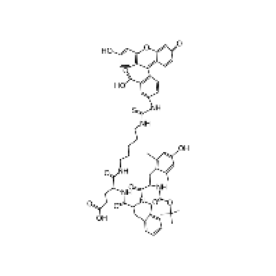 Cc1cc(O)cc(C)c1CC(NC(=O)OC(C)(C)C)C(=O)N1Cc2ccccc2CC1C(=O)NC(CCC(=O)O)C(=O)NCCCCCNC(=S)Nc1ccc(-c2c3ccc(=O)cc-3oc3cc(O)ccc23)c(C(=O)O)c1